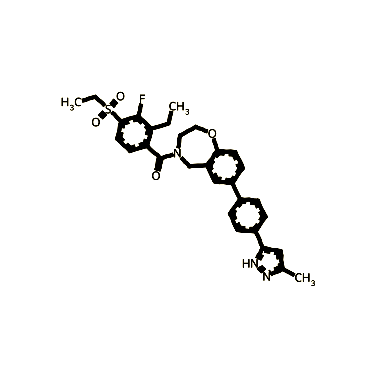 CCc1c(C(=O)N2CCOc3ccc(-c4ccc(-c5cc(C)n[nH]5)cc4)cc3C2)ccc(S(=O)(=O)CC)c1F